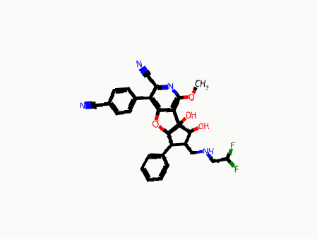 COc1nc(C#N)c(-c2ccc(C#N)cc2)c2c1C1(O)C(O)C(CNCC(F)F)C(c3ccccc3)C1O2